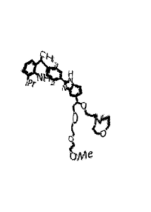 COCCOCCOCC(OCCN1CCOCC1)c1ccc2[nH]c(-c3ccc(C(C)c4cccc(C(C)C)c4N)cc3)nc2c1